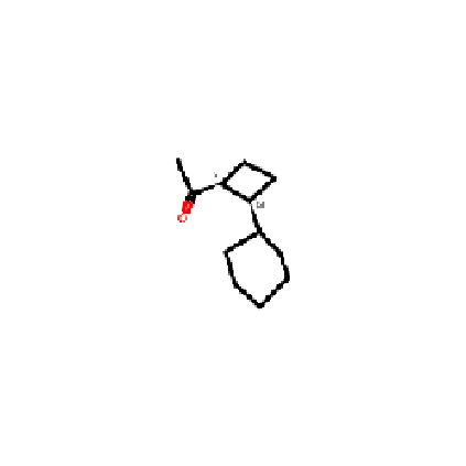 CC(=O)[C@H]1CC[C@H]1C1CCCCC1